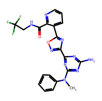 CN(c1ccccc1)c1nc(N)nc(-c2noc(-c3cccnc3C(=O)NCC(F)(F)F)n2)n1